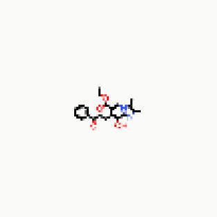 CCOC(=O)c1cn2c(C)c(C)nc2c(O)c1CCC(=O)c1ccccc1